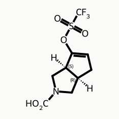 O=C(O)N1C[C@@H]2CC=C(OS(=O)(=O)C(F)(F)F)[C@@H]2C1